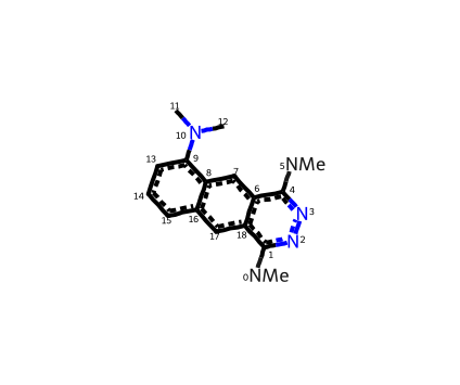 CNc1nnc(NC)c2cc3c(N(C)C)cccc3cc12